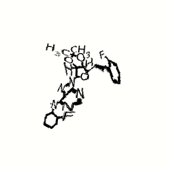 CC1(C)O[C@@H]2[C@H](O1)[C@@H](C=Cc1ccccc1F)O[C@H]2n1cnc2c([N]C3CCCCC3F)ncnc21